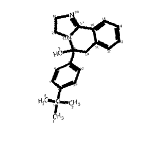 C[Si](C)(C)c1ccc(C2(O)Cc3ccccc3C3=NCCN32)cc1